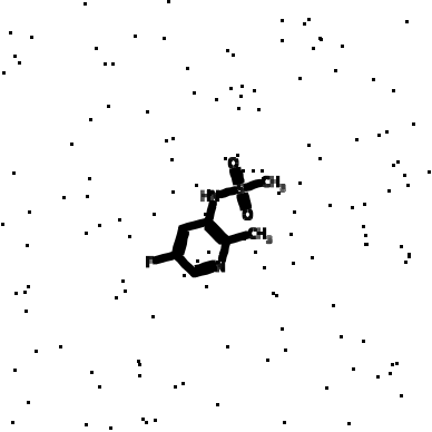 Cc1ncc(F)cc1NS(C)(=O)=O